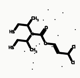 CC(CS)N(C(=O)OC=CC(Cl)Cl)C(C)CS